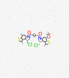 Cc1cc2c(c3c(C)csc13)[C@H](CCl)CN2C(=O)C12CC(C(=O)N3C[C@@H](CCl)c4c3cc(OC(C)(C)C)c3scc(C)c43)(C1)C2